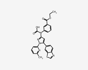 CCOC(=O)c1cccc(N(C(=O)O)c2cc(-c3ccc4ncsc4c3)n(-c3cccc(C)n3)n2)c1